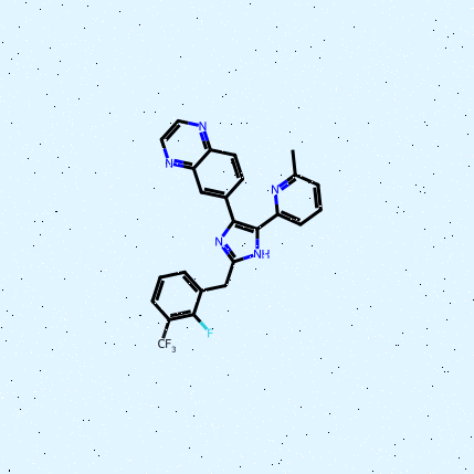 Cc1cccc(-c2[nH]c(Cc3cccc(C(F)(F)F)c3F)nc2-c2ccc3nccnc3c2)n1